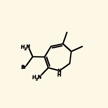 CC1=CC(C(N)Br)=C(N)NCC1C